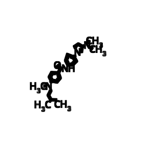 CCC(C)CCN(C)c1ccc(C(=O)Nc2ccc(N3CCC(N(C)C)C3)cc2)cc1